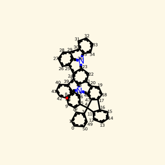 c1ccc(C2(c3ccccc3)c3ccccc3-c3ccc4c5cc6c(c7cccc8c9ccccc9n6c87)c6c7ccccc7n(c4c32)c56)cc1